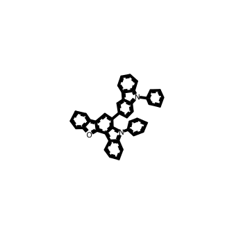 c1ccc(-n2c3ccccc3c3cc(-c4cc5c6ccccc6oc5c5c6ccccc6n(-c6ccccc6)c45)ccc32)cc1